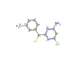 Nc1cc(Cl)nc(C(=S)c2cccc(C(F)(F)F)c2)n1